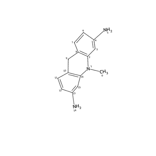 CN1c2cc(N)ccc2Cc2ccc(N)cc21